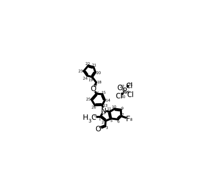 Cc1c(C=O)c2cc(F)ccc2n1-c1ccc(OCc2ccccc2)cc1.O=P(Cl)(Cl)Cl